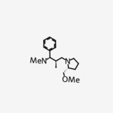 [CH2-][NH2+][C@@H](c1ccccc1)[C@H](C)CN1CCC[C@@H]1COC